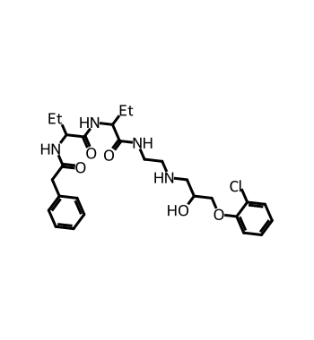 CCC(NC(=O)Cc1ccccc1)C(=O)NC(CC)C(=O)NCCNCC(O)COc1ccccc1Cl